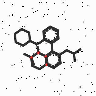 CC(C)Cc1cccc(CC(C)C)c1-c1ccccc1P(C1CCCCC1)C1CCCCC1